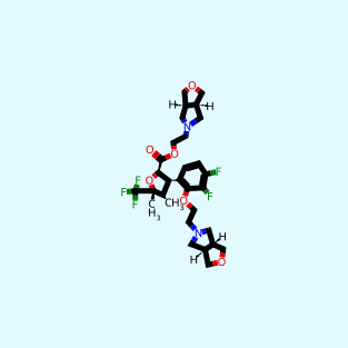 C[C@H]1[C@@H](c2ccc(F)c(F)c2OCCN2C[C@H]3COC[C@H]3C2)[C@H](C(=O)OCCN2C[C@H]3COC[C@H]3C2)O[C@@]1(C)C(F)(F)F